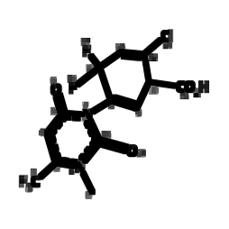 Cn1c(C(F)(F)F)cc(=O)n(C2=CC(C(=O)O)C(Cl)=CC2(F)F)c1=O